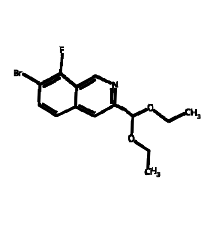 CCOC(OCC)c1cc2ccc(Br)c(F)c2cn1